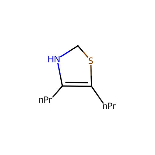 CCCC1=C(CCC)SCN1